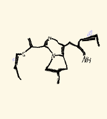 C=C(S/C=C\C)C1=NCC(C(=N)/C=C\C)=C2CC(C)CN12